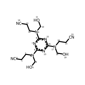 N#CCCN(CO)c1nc(N(CO)CCC#N)nc(N(CO)CCC#N)n1